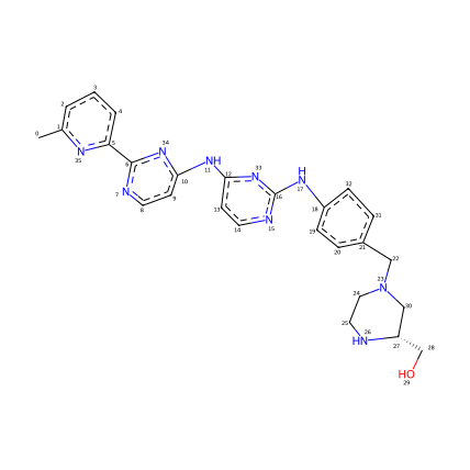 Cc1cccc(-c2nccc(Nc3ccnc(Nc4ccc(CN5CCN[C@@H](CO)C5)cc4)n3)n2)n1